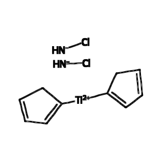 C1=CC[C]([Ti+2][C]2=CC=CC2)=C1.[NH-]Cl.[NH-]Cl